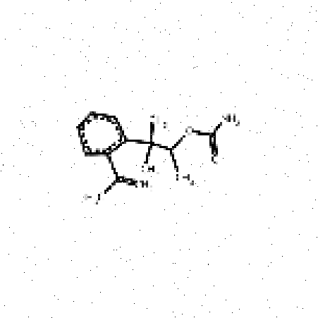 C=C(C)c1ccccc1C(C)(C)C(C)OC(N)=O